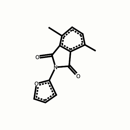 Cc1ccc(C)c2c1C(=O)N(c1ccco1)C2=O